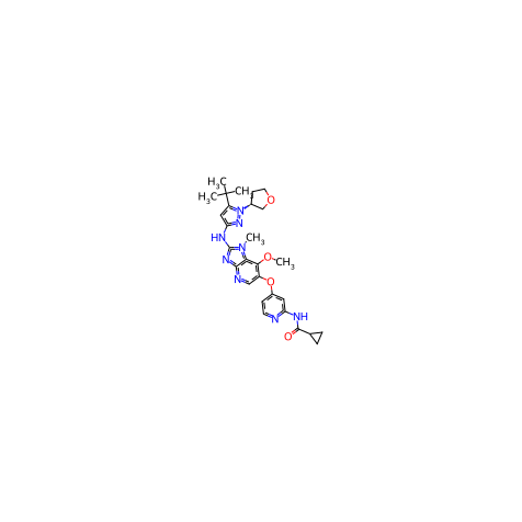 COc1c(Oc2ccnc(NC(=O)C3CC3)c2)cnc2nc(Nc3cc(C(C)(C)C)n([C@H]4CCOC4)n3)n(C)c12